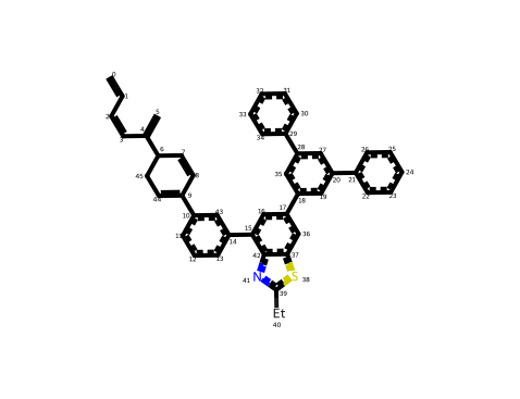 C=C/C=C\C(=C)C1C=CC(c2cccc(-c3cc(-c4cc(-c5ccccc5)cc(-c5ccccc5)c4)cc4sc(CC)nc34)c2)=CC1